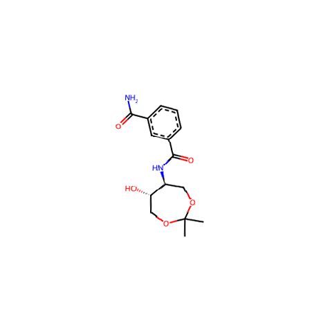 CC1(C)OC[C@H](NC(=O)c2cccc(C(N)=O)c2)[C@@H](O)CO1